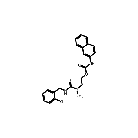 CN(CCOC(=O)Nc1ccc2ccccc2c1)C(=O)NCc1ccccc1Cl